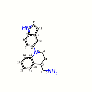 NCC1CCN(c2ccc3[nH]ccc3c2)c2ccccc21